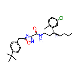 CCC/C=C(/CCNC(=O)c1noc(Cc2ccc(C(C)(C)C)cc2)n1)c1cc(Cl)ccc1C